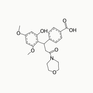 COc1cc(O)c(C(CC(=O)N2CCOCC2)c2ccc(C(=O)O)cc2)c(OC)c1